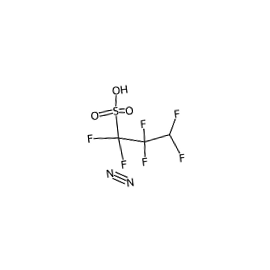 N#N.O=S(=O)(O)C(F)(F)C(F)(F)C(F)F